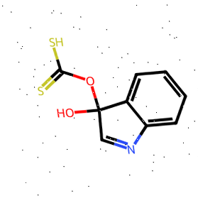 OC1(OC(=S)S)C=Nc2ccccc21